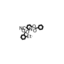 C[CH]c1ccccc1C(=O)Oc1nc(OC(=O)c2ccccc2)ccc1C#N